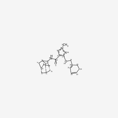 Cn1cc(C(=O)NC2C3CC4CC(C3)CC2C4)c(OCC2=CC=CCC2)n1